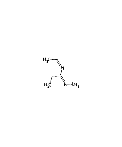 C/C=N\C(CC)=N/C